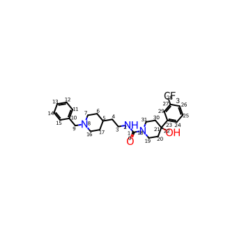 O=C(NCCC1CCN(Cc2ccccc2)CC1)N1CCC(O)(c2cccc(C(F)(F)F)c2)CC1